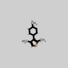 Cc1csc(C)c1C1CCC(C)CC1